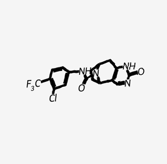 O=C(Nc1ccc(C(F)(F)F)c(Cl)c1)N1C2CCC1c1cnc(=O)[nH]c1C2